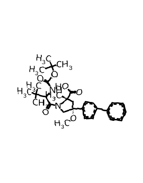 CO[C@]1(c2ccc(-c3ccccc3)cc2)CN(C(=O)C(NC(=O)OC(C)(C)C)C(C)(C)C)[C@](C)(C(=O)O)C1